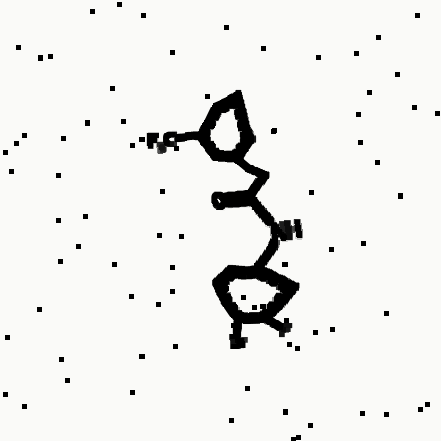 O=C(Cc1cccc(C(F)(F)F)c1)Nc1ccc(Br)c(F)c1